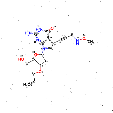 C=CCOC1CC(n2cc(C#CCNOC)c3c(=O)[nH]c(N)nc32)OC1CO